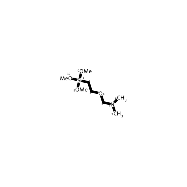 CO[Si](CCOCN(C)C)(OC)OC